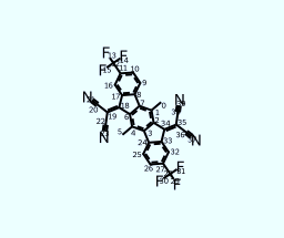 Cc1c2c(c(C)c3c1-c1ccc(C(F)(F)F)cc1C3=C(C#N)C#N)-c1ccc(C(F)(F)F)cc1C2=C(C#N)C#N